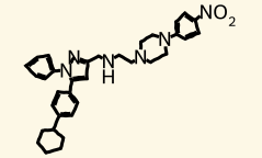 O=[N+]([O-])c1ccc(N2CCN(CCNCc3cc(-c4ccc(C5CCCCC5)cc4)n(-c4ccccc4)n3)CC2)cc1